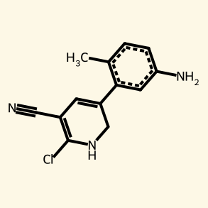 Cc1ccc(N)cc1C1=CC(C#N)=C(Cl)NC1